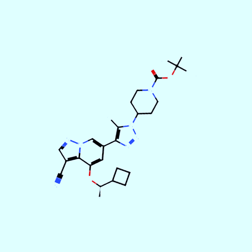 Cc1c(-c2cc(O[C@H](C)C3CCC3)c3c(C#N)cnn3c2)nnn1C1CCN(C(=O)OC(C)(C)C)CC1